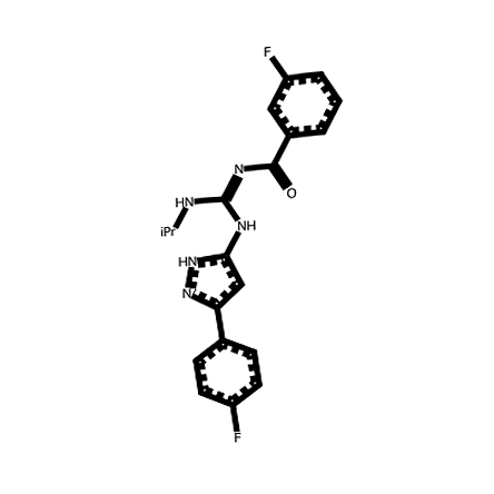 CC(C)N/C(=N/C(=O)c1cccc(F)c1)Nc1cc(-c2ccc(F)cc2)n[nH]1